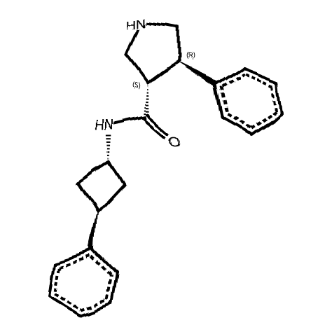 O=C(N[C@H]1C[C@H](c2ccccc2)C1)[C@@H]1CNC[C@H]1c1ccccc1